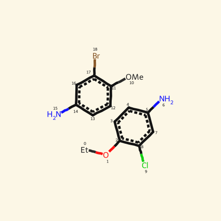 CCOc1ccc(N)cc1Cl.COc1ccc(N)cc1Br